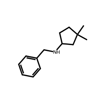 CC1(C)CCC(NCc2ccccc2)C1